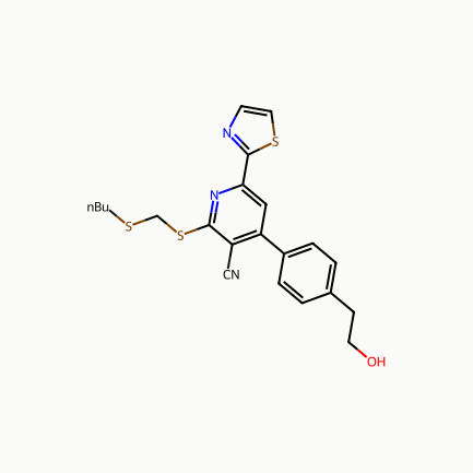 CCCCSCSc1nc(-c2nccs2)cc(-c2ccc(CCO)cc2)c1C#N